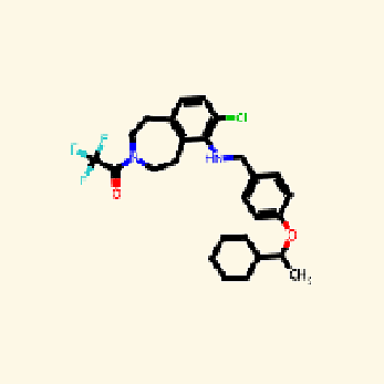 CC(Oc1ccc(CNc2c(Cl)ccc3c2CCN(C(=O)C(F)(F)F)CC3)cc1)C1CCCCC1